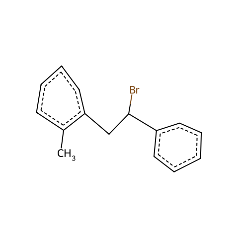 Cc1ccccc1CC(Br)c1ccccc1